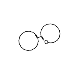 C1=C(C2=COCCCCCCCCCCCCC2)CCCCCCCCCCCCCC1